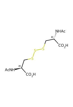 CC(=O)N[C@@H](CSSSC[C@H](NC(C)=O)C(=O)O)C(=O)O